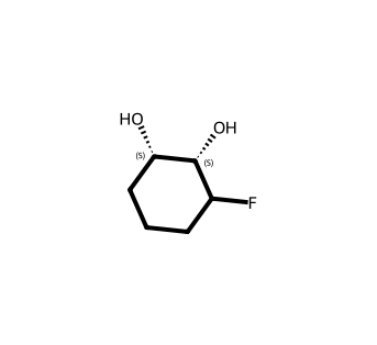 O[C@@H]1C(F)CCC[C@@H]1O